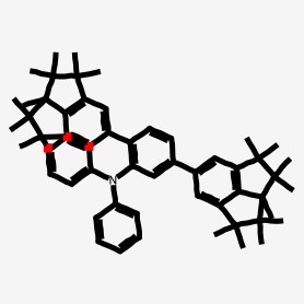 CC1(C)c2cc(-c3ccc(-c4cc5c6c(c4)C(C)(C)C(C)(C)C6(C)C(C)(C)C5(C)C)c(N(c4ccccc4)c4ccccc4)c3)cc3c2C(C)(C1(C)C)C(C)(C)C3(C)C